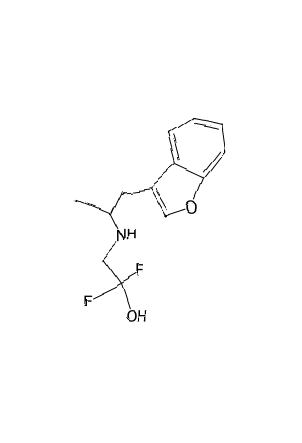 CC(Cc1coc2ccccc12)NCC(O)(F)F